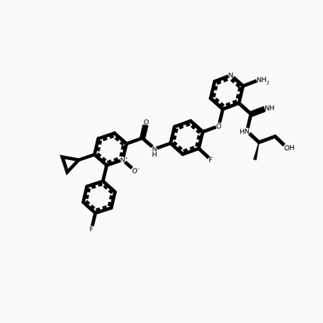 C[C@H](CO)NC(=N)c1c(Oc2ccc(NC(=O)c3ccc(C4CC4)c(-c4ccc(F)cc4)[n+]3[O-])cc2F)ccnc1N